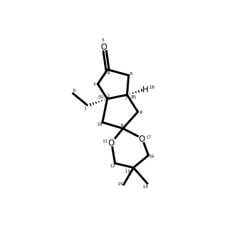 CC[C@]12CC(=O)C[C@H]1CC1(C2)OCC(C)(C)CO1